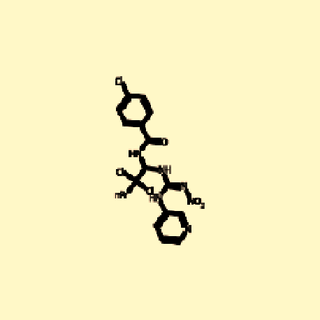 CCCC(Cl)(Cl)C(NC(=O)c1ccc(Cl)cc1)N/C(=N/[N+](=O)[O-])Nc1cccnc1